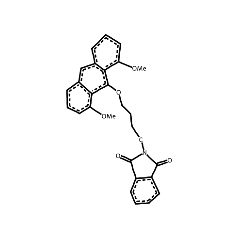 COc1cccc2cc3cccc(OC)c3c(OCCCCN3C(=O)c4ccccc4C3=O)c12